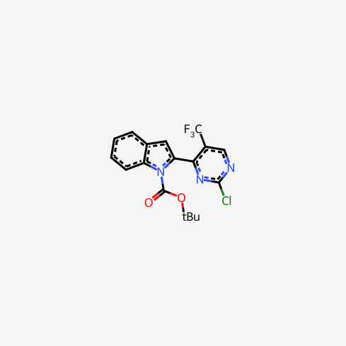 CC(C)(C)OC(=O)n1c(-c2nc(Cl)ncc2C(F)(F)F)cc2ccccc21